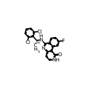 C[C@@H](Nc1nc2cc[nH]c(=O)c2c2cc(F)ccc12)c1c(Cl)cccc1Cl